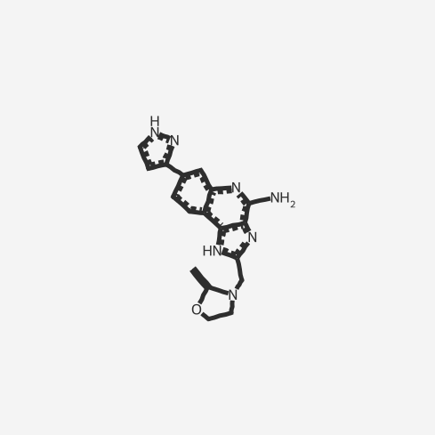 C=C1OCCN1Cc1nc2c(N)nc3cc(-c4cc[nH]n4)ccc3c2[nH]1